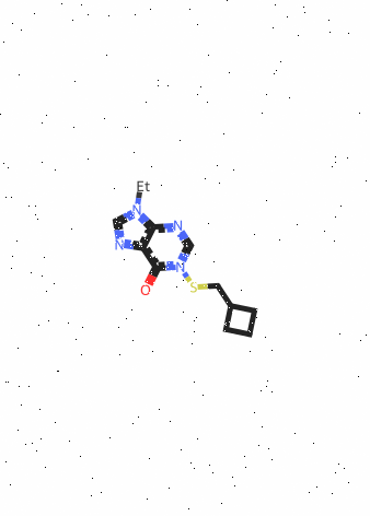 CCn1cnc2c(=O)n(SCC3CCC3)cnc21